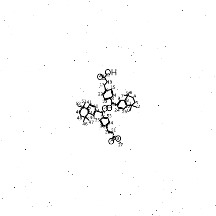 CC1(C)CCC(C)(C)c2cc(C(=O)c3ccc(CCC(=O)O)cc3)ccc21.COC(=O)/C=C/c1ccc(C(=O)c2ccc3c(c2)C(C)(C)CCC3(C)C)cc1